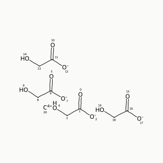 O=C([O-])CO.O=C([O-])CO.O=C([O-])CO.O=C([O-])CO.[C+4]